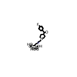 O=C(c1ccc(F)cc1)C1CCN(C/C=C/CC(P(=O)(O)O)P(=O)(O)O)CC1